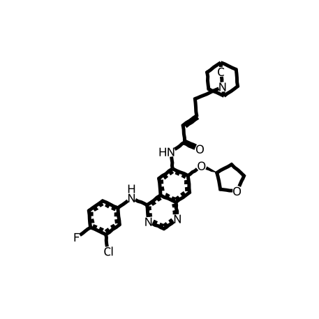 O=C(/C=C/CN1CC2CCC1CC2)Nc1cc2c(Nc3ccc(F)c(Cl)c3)ncnc2cc1O[C@H]1CCOC1